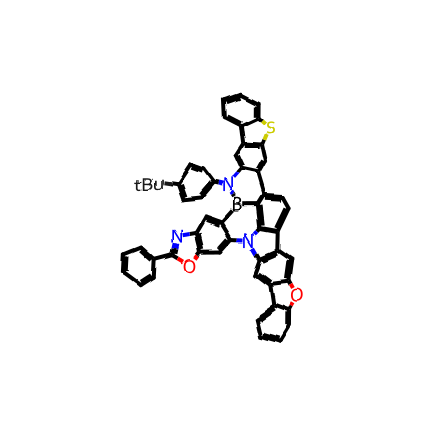 CC(C)(C)c1ccc(N2B3c4cc5nc(-c6ccccc6)oc5cc4-n4c5cc6c(cc5c5ccc(c3c54)-c3cc4sc5ccccc5c4cc32)oc2ccccc26)cc1